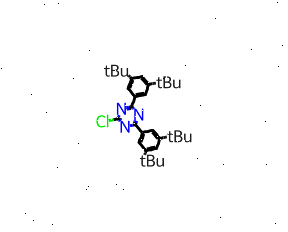 CC(C)(C)c1cc(-c2nc(Cl)nc(-c3cc(C(C)(C)C)cc(C(C)(C)C)c3)n2)cc(C(C)(C)C)c1